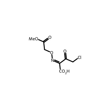 COC(=O)CON=C(C(=O)O)C(=O)CCl